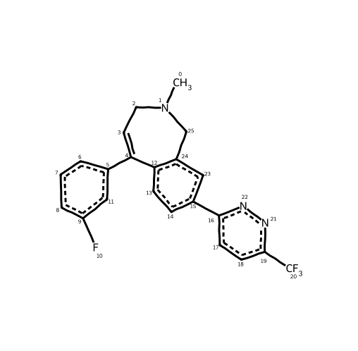 CN1CC=C(c2cccc(F)c2)c2ccc(-c3ccc(C(F)(F)F)nn3)cc2C1